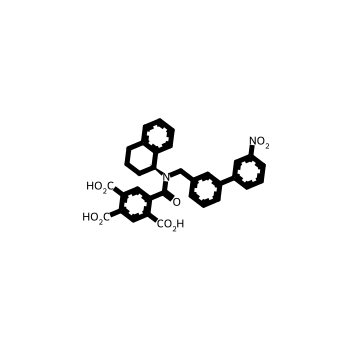 O=C(O)c1cc(C(=O)O)c(C(=O)N(Cc2cccc(-c3cccc([N+](=O)[O-])c3)c2)[C@H]2CCCc3ccccc32)cc1C(=O)O